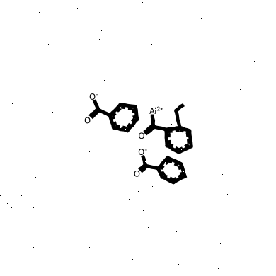 CCc1ccccc1[C](=O)[Al+2].O=C([O-])c1ccccc1.O=C([O-])c1ccccc1